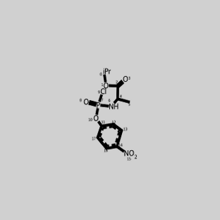 CC(C)OC(=O)C(C)NP(=O)(Cl)Oc1ccc([N+](=O)[O-])cc1